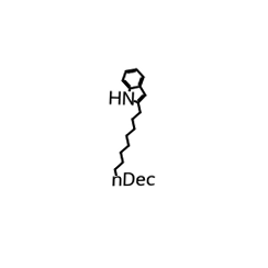 CCCCCCCCCCCCCCCCCCc1cc2ccccc2[nH]1